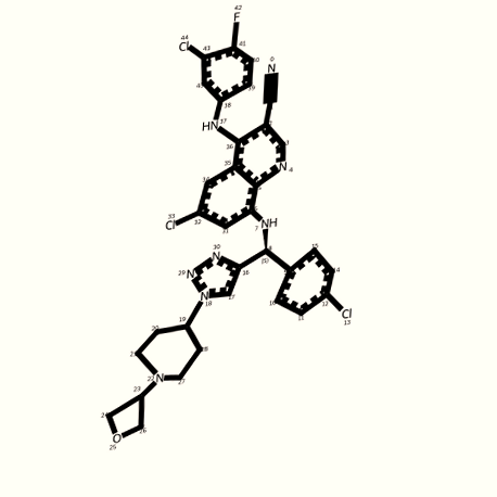 N#Cc1cnc2c(N[C@@H](c3ccc(Cl)cc3)c3cn(C4CCN(C5COC5)CC4)nn3)cc(Cl)cc2c1Nc1ccc(F)c(Cl)c1